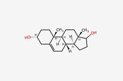 C[C@]12CC[C@@H](O)CC1=CC[C@@H]1[C@@H]2CC[C@]2(C)C(O)CC[C@@H]12